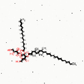 CCCCCCCCCCCCCCCC[C@H](C)C[C@H](C)C[C@H](C)/C=C(\C)C(=O)OC1C(O)C(CO)OC(OC(O)/C(O)=C(\O)CO)C1OC(=O)CCCCCCCCCCCCCCC